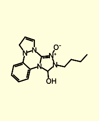 CCCCN1C(O)N2C(=[N+]1[O-])N1C=CCN1c1ccccc12